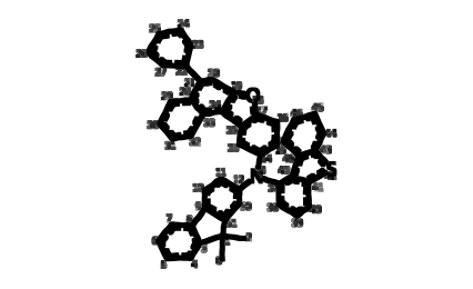 CC1(C)c2ccccc2-c2ccc(N(c3ccc4oc5cc(-c6ccccc6)c6ccccc6c5c4c3)c3cccc4sc5ccccc5c34)cc21